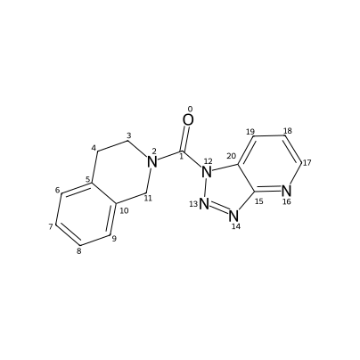 O=C(N1CCc2ccccc2C1)n1nnc2ncccc21